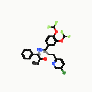 CNC(=O)[C@@H](N[C@@H](CCc1ccc(Cl)cn1)c1ccc(OC(F)F)c(OC(F)F)c1)c1ccccc1